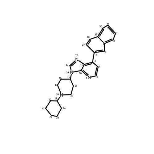 c1ccc2cc(-c3ccnc4c3ncn4C3CCN(C4CCCCC4)CC3)ccc2c1